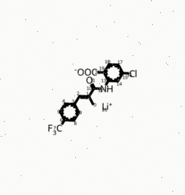 C/C(=C\c1ccc(C(F)(F)F)cc1)C(=O)Nc1cc(Cl)ccc1C(=O)[O-].[Li+]